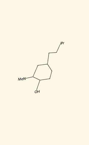 CNC1CC(CCC(C)C)CCC1O